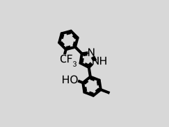 Cc1ccc(O)c(-c2cc(-c3ccccc3C(F)(F)F)n[nH]2)c1